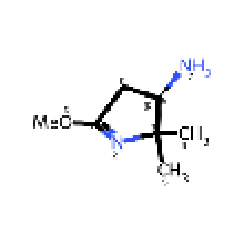 COC1=NC(C)(C)[C@H](N)C1